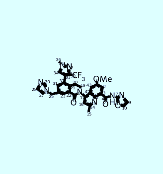 COc1cc(C(=O)Nc2ncco2)c2nc(C)cc(N3CCc4c(cc(Cn5ccnc5)cc4-c4cn(C)nc4C(F)(F)F)C3=O)c2c1